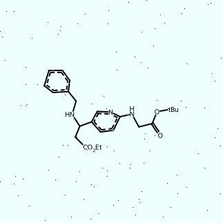 CCOC(=O)CC(NCc1ccccc1)c1ccc(NCC(=O)OC(C)(C)C)nc1